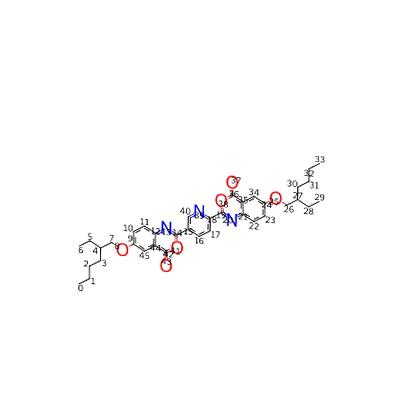 CCCCC(CC)COc1ccc2nc(-c3ccc(-c4nc5ccc(OCC(CC)CCCC)cc5c(=O)o4)nc3)oc(=O)c2c1